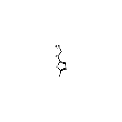 Cc1ncc(NCN)s1